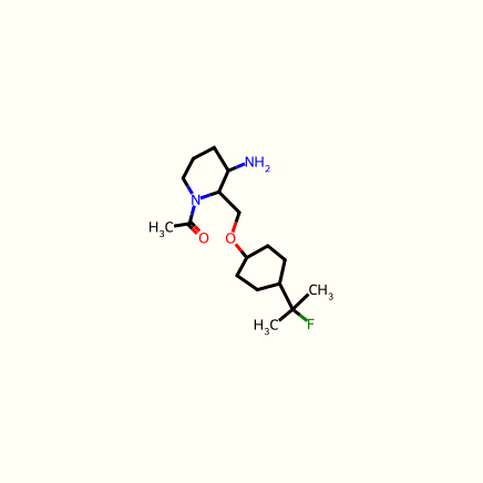 CC(=O)N1CCCC(N)C1COC1CCC(C(C)(C)F)CC1